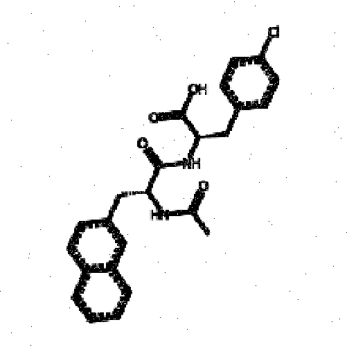 CC(=O)N[C@H](Cc1ccc2ccccc2c1)C(=O)N[C@H](Cc1ccc(Cl)cc1)C(=O)O